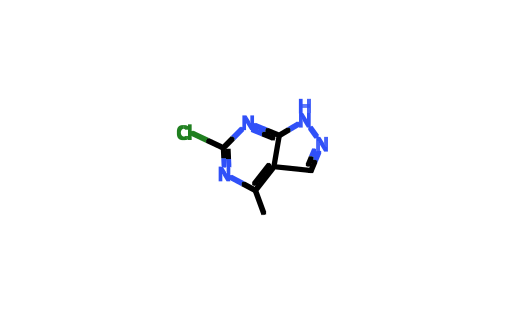 Cc1nc(Cl)nc2[nH]ncc12